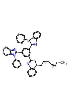 CC/C=C\C=C/CC1CC(c2cc(C3=Nc4ccccc4[C@@H]3c3ccccc3)cc(-c3nc4ccccc4n3-c3ccccc3)c2)=Nc2ccccc21